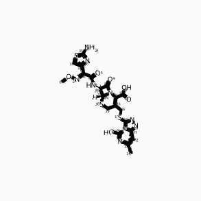 CON=C(C(=O)N[C@@H]1C(=O)N2C(C(=O)O)=C(CSc3nnc4cc(C)nc(O)n34)CS[C@H]12)c1csc(N)n1